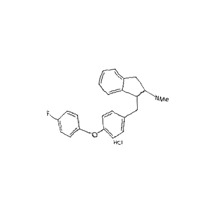 CNC1Cc2ccccc2C1Cc1ccc(Oc2ccc(F)cc2)cc1.Cl